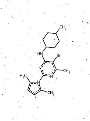 Cc1nc(-n2c(C)ccc2C)nc(NC2CCC(C)CC2)c1Br